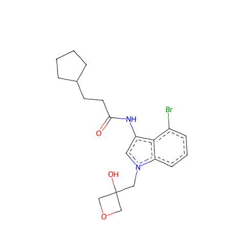 O=C(CCC1CCCC1)Nc1cn(CC2(O)COC2)c2cccc(Br)c12